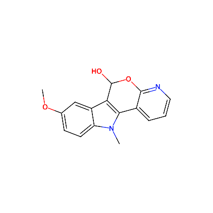 COc1ccc2c(c1)c1c(n2C)-c2cccnc2OC1O